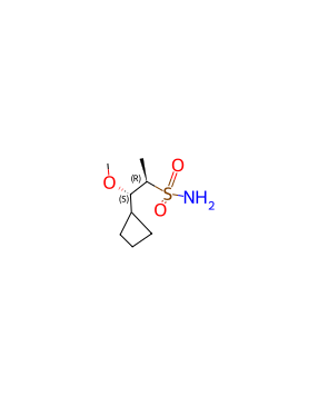 CO[C@@H](C1CCC1)[C@@H](C)S(N)(=O)=O